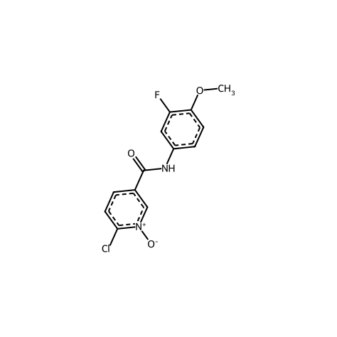 COc1ccc(NC(=O)c2ccc(Cl)[n+]([O-])c2)cc1F